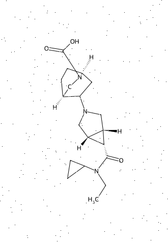 CCN(C(=O)[C@@H]1[C@@H]2CN(C3C[C@@H]4CC[C@H]3CN4C(=O)O)C[C@@H]21)C1CC1